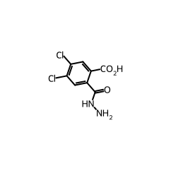 NNC(=O)c1cc(Cl)c(Cl)cc1C(=O)O